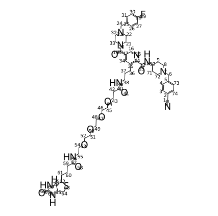 N#Cc1ccc(CN2CCC(NC(=O)c3ncc(C(=O)N4CCN(Cc5ccc(F)cc5)CC4)cc3CCCNC(=O)CCOCCOCCOCCOCCNC(=O)CCCC3SCC4NC(=O)N[C@@H]43)CC2)cc1